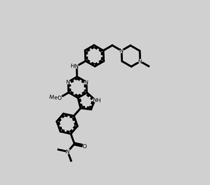 COc1nc(Nc2ccc(CN3CCN(C)CC3)cc2)nc2[nH]cc(-c3cccc(C(=O)N(C)C)c3)c12